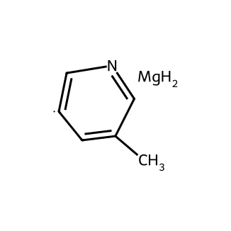 Cc1c[c]cnc1.[MgH2]